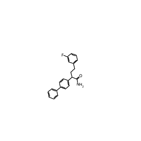 NC(=O)C(CCc1cccc(F)c1)c1ccc(-c2ccccc2)cc1